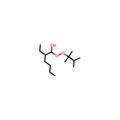 CCCCC(CC)C(O)OOC(C)(C)C(C)C